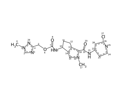 Cn1cnc(COC(=O)NC2CCc3c2cn(C)c3C(=O)Nc2ccnc(Cl)c2)n1